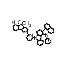 CC1(C)c2ccccc2-c2cc(-c3cccc(-n4c5ccccc5c5c6c(ccc54)-c4cccc5cccc(c45)N6c4ccccn4)n3)ccc21